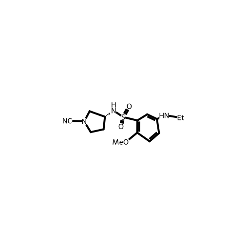 CCNc1ccc(OC)c(S(=O)(=O)N[C@@H]2CCN(C#N)C2)c1